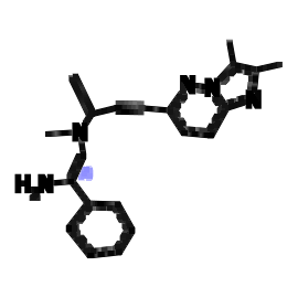 C=C(C#Cc1ccc2nc(C)c(C)n2n1)N(C)/C=C(\N)c1ccccc1